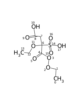 CCOOC(=O)C(CC(=O)O)(OCC)S(=O)(=O)O